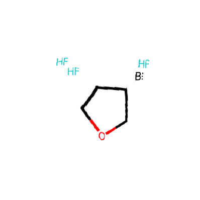 C1CCOC1.F.F.F.[B]